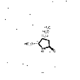 O.O.O.O=C1CC[C@@H](C(=O)O)N1